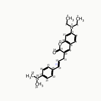 CCN(CC)c1ccc2cc(C/C=C/c3ccc(N(C)C)cc3)c(=O)oc2c1